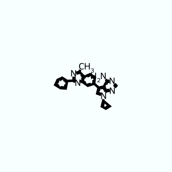 Cc1nc(-c2ccccc2)nc2cc(-c3cn(C4=CC=C4)c4ncnc(N)c34)ccc12